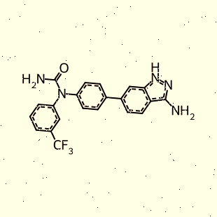 NC(=O)N(c1ccc(-c2ccc3c(N)n[nH]c3c2)cc1)c1cccc(C(F)(F)F)c1